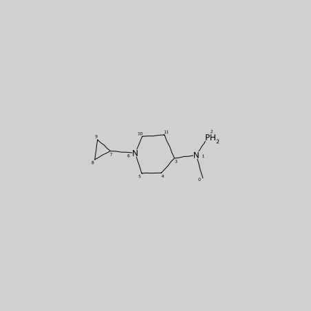 CN(P)C1CCN(C2CC2)CC1